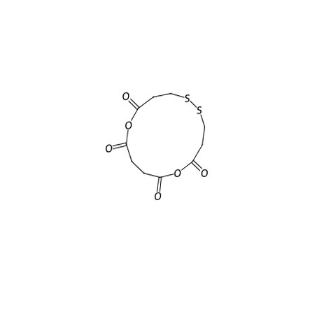 O=C1CCSSCCC(=O)OC(=O)CCC(=O)O1